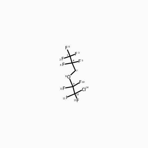 FC(F)(F)C(F)(F)COC(F)(F)C(F)(Cl)I